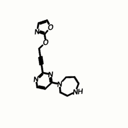 C(#Cc1nccc(N2CCCNCC2)n1)COc1ncco1